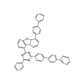 C1=CC2c3c(cccc3-c3nc(-c4ccccc4)nc(-c4ccc(-c5ccc(-c6ccccc6)cc5)cc4)n3)OC2C(c2ccc(-c3ccccc3)cc2)=C1